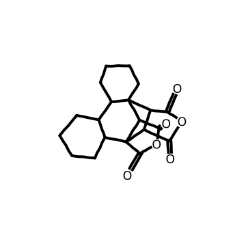 O=C1OC(=O)C2C1C13CCCCC1C1CCCCC1C21C(=O)OC(=O)C31